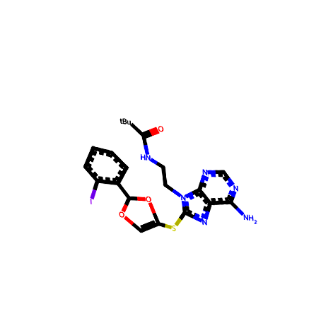 CC(C)(C)C(=O)NCCn1c(SC2=COC(c3ccccc3I)O2)nc2c(N)ncnc21